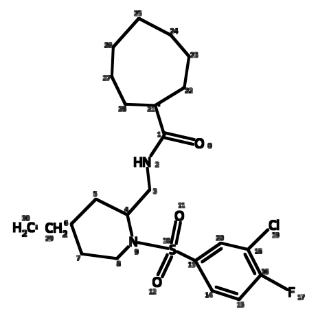 O=C(NCC1CCCCN1S(=O)(=O)c1ccc(F)c(Cl)c1)[C]1CCCCCCC1.[CH2].[CH2]